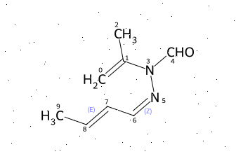 C=C(C)N(C=O)/N=C\C=C\C